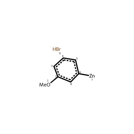 Br.COc1ccc[c]([Zn])c1